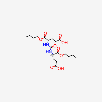 CCCCOC(=O)C(CCC(=O)O)NC(=O)N[C@@H](CCC(=O)O)C(=O)OCCCC